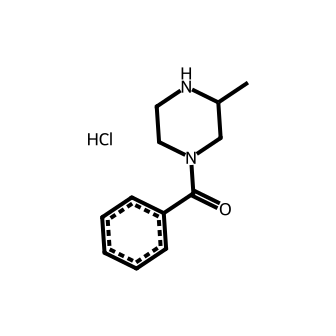 CC1CN(C(=O)c2ccccc2)CCN1.Cl